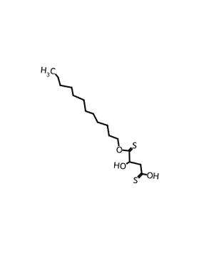 CCCCCCCCCCCCOC(=S)C(O)CC(O)=S